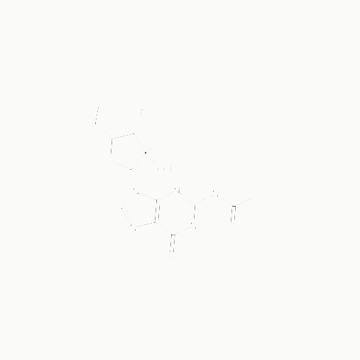 CC(C)C(=O)Nc1nc2c(ncn2[C@@H]2OC(CO)[C@H](F)C2(O)O)c(=O)[nH]1